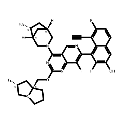 C#Cc1c(F)ccc2cc(O)c(F)c(-c3ncc4c(N5C[C@@H]6C[C@H](C5)[C@H](O)C6)nc(OC[C@@]56CCCN5C[C@H](F)C6)nc4c3F)c12